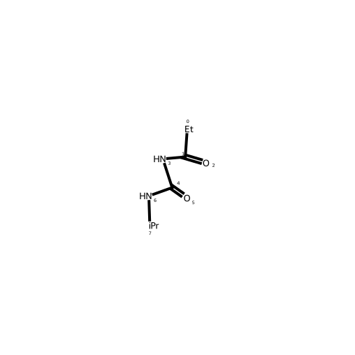 CCC(=O)NC(=O)NC(C)C